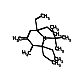 C=C1CC(CC)(CC)N(C(C)(C)C)C(CC)(CC)C1C